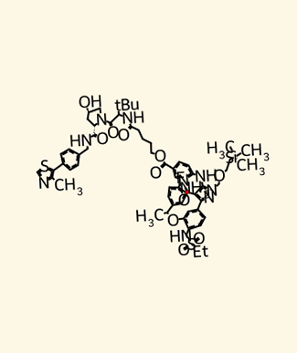 CCS(=O)(=O)Nc1ccc(-c2nn(COCC[Si](C)(C)C)c(Nc3ccc(C(=O)OCCCCC(=O)NC(C(=O)N4C[C@H](O)C[C@H]4C(=O)NCc4ccc(-c5scnc5C)cc4)C(C)(C)C)cn3)c2C(N)=O)cc1OC(C)c1ccc(F)cc1